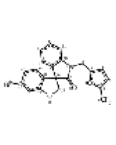 O=C1N(Cc2ccc(C(F)(F)F)o2)c2ccccc2C12COc1cc(Br)ccc12